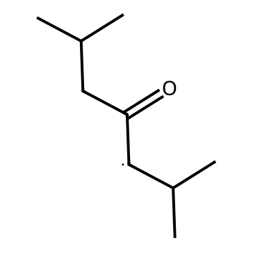 CC(C)[CH]C(=O)CC(C)C